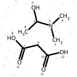 CC(O)N(C)C.O=C(O)CC(=O)O